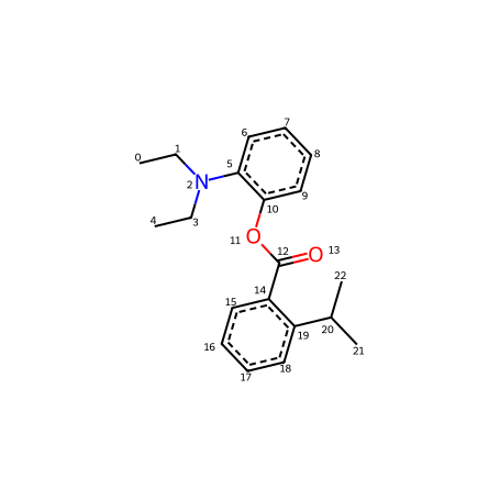 CCN(CC)c1ccccc1OC(=O)c1ccccc1C(C)C